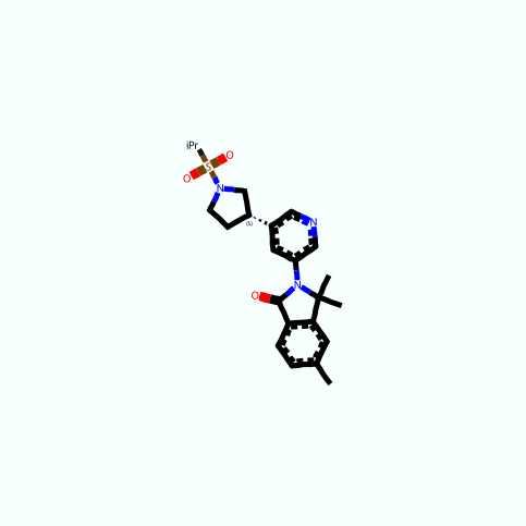 Cc1ccc2c(c1)C(C)(C)N(c1cncc([C@@H]3CCN(S(=O)(=O)C(C)C)C3)c1)C2=O